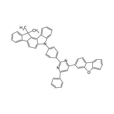 CC1(C)c2ccccc2-c2ccc3c(c21)c1ccccc1n3-c1ccc(-c2nc(-c3ccccc3)cc(-c3ccc4c(c3)oc3ccccc34)n2)cc1